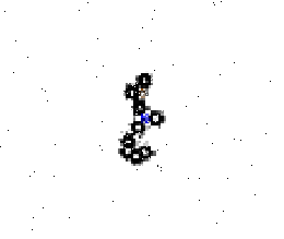 c1ccc(N(c2ccc(-c3ccc4ccc5ccc6ccccc6c5c4c3)cc2)c2ccc(-c3cccc4c3sc3ccccc34)cc2)cc1